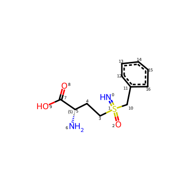 N=S(=O)(CC[C@H](N)C(=O)O)Cc1ccccc1